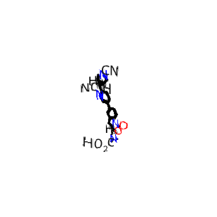 CN(C[C@@H]1OC(=O)N2c3ccc(-c4ccc([C@@]5(C#N)[C@@H]6CN(C#N)C[C@@H]65)nc4)cc3C[C@@H]12)C(=O)O